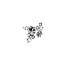 COc1ccc2c3c1OC1C(O)C(COS(=O)(=O)c4ccc(C)cc4)(COS(=O)(=O)c4ccc(C)cc4)C[C@H]4[C@@H](C2)N(C)CC[C@]314